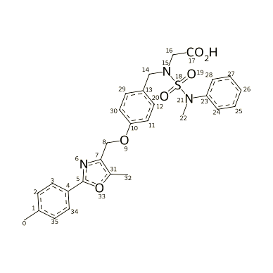 Cc1ccc(-c2nc(COc3ccc(CN(CC(=O)O)S(=O)(=O)N(C)c4ccccc4)cc3)c(C)o2)cc1